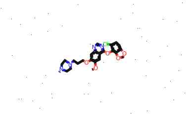 COc1cc2c(Oc3c(Cl)ccc4c3OCO4)ncnc2cc1OCCCN1CCN(C)CC1